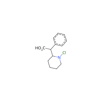 O=C(O)C(c1ccccc1)C1CCCCN1Cl